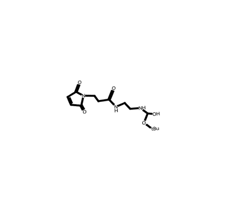 CC(C)(C)OC(O)NCCNC(=O)CCN1C(=O)C=CC1=O